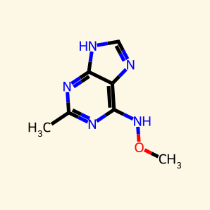 CONc1nc(C)nc2[nH]cnc12